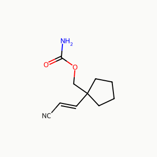 N#CC=CC1(COC(N)=O)CCCC1